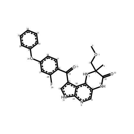 COCC1(C)Nc2c(cnc3[nH]cc(C(=O)c4ccc(Oc5ccccc5)cc4F)c23)NC1=O